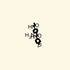 COc1ccc(NC(=O)c2ccc(NC(C)=O)cc2N)cc1